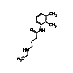 CCNCCCC(=O)Nc1cccc(C)c1C